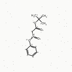 CC(C)(C)OC(=O)C[PH](=O)Oc1ccccc1